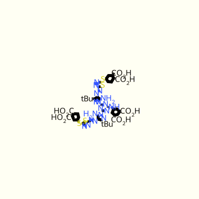 CC(C)(C)c1nn(-c2nc(Nc3cc(C(=O)O)cc(C(=O)O)c3)nc(-n3nc(C(C)(C)C)c(N=Nc4nnc(Sc5ccc(C(=O)O)c(C(=O)O)c5)s4)c3N)n2)c(N)c1N=Nc1nnc(Sc2ccc(C(=O)O)c(C(=O)O)c2)s1